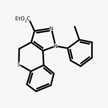 CCOC(=O)c1nn(-c2ccccc2C)c2c1CSc1ccccc1-2